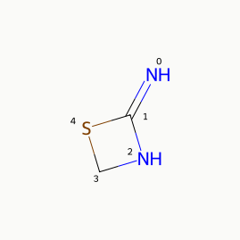 N=C1NCS1